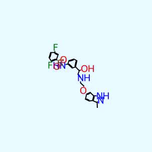 Cc1n[nH]c2cc(OCCNCC(O)c3cccc(NS(=O)(=O)c4cc(F)ccc4F)c3)ccc12